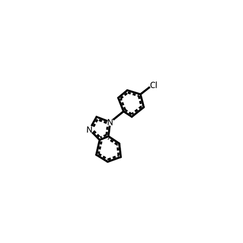 Clc1ccc(-n2cnc3ccccc32)cc1